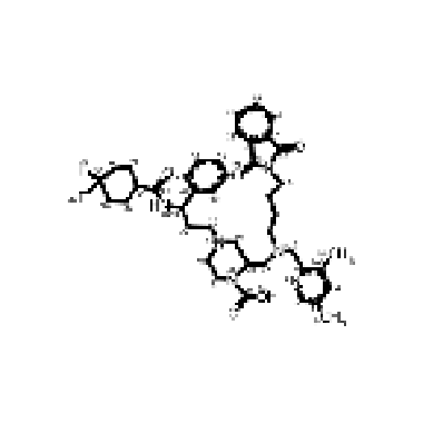 Cc1cnc(CN(CCCCN2C(=O)c3ccccc3C2=O)CC2CN(CCC(NC(=O)C3CCC(F)(F)CC3)c3ccccc3)CCN2C(=O)O)c(C)c1